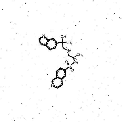 C[C@H](CNCC(C)(O)c1ccc2scnc2c1)NS(=O)(=O)c1ccc2cnccc2c1